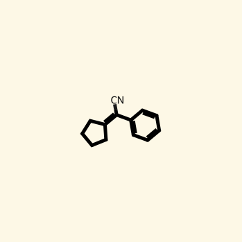 N#CC(=C1CCCC1)c1ccccc1